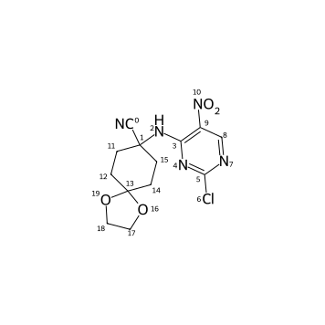 N#CC1(Nc2nc(Cl)ncc2[N+](=O)[O-])CCC2(CC1)OCCO2